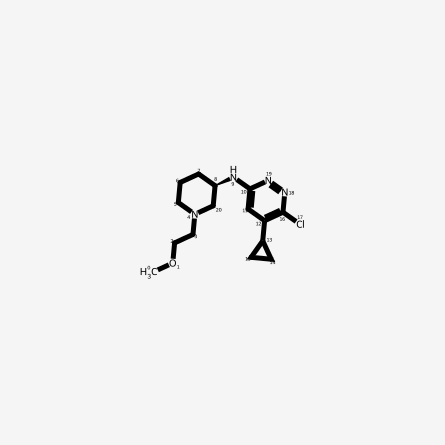 COCCN1CCC[C@@H](Nc2cc(C3CC3)c(Cl)nn2)C1